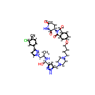 C[C@H](Cn1ccc(-c2ccc(C#N)c(Cl)c2)n1)NC(O)c1cc(CN2CCN(CCCCOc3ccc4c(c3)C(=O)N(C3CCC(=O)NC3=O)C4=O)CC2)[nH]n1